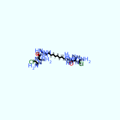 N=C(NCCCCCCCCCNC(=N)NC(=O)c1nc(Cl)c(N)nc1N)NC(=O)c1nc(Cl)c(N)nc1N